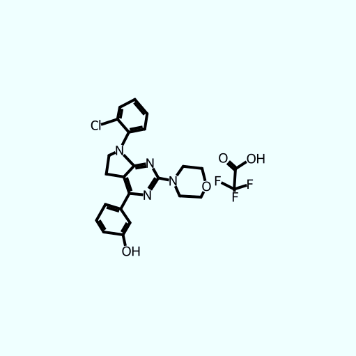 O=C(O)C(F)(F)F.Oc1cccc(-c2nc(N3CCOCC3)nc3c2CCN3c2ccccc2Cl)c1